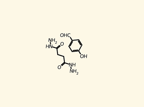 NNC(=O)CCC(=O)NN.O=Cc1ccc(O)cc1